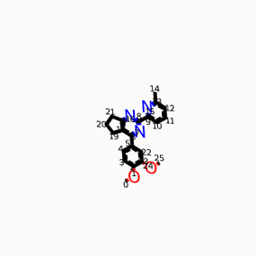 COc1ccc(-c2nc(-c3cccc(C)n3)nc3c2CCC3)cc1OC